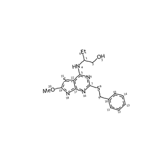 CCC(CO)Nc1nc(SCc2ccccc2)nc2nc(OC)sc12